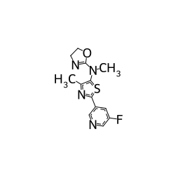 Cc1nc(-c2cncc(F)c2)sc1N(C)C1=NCCO1